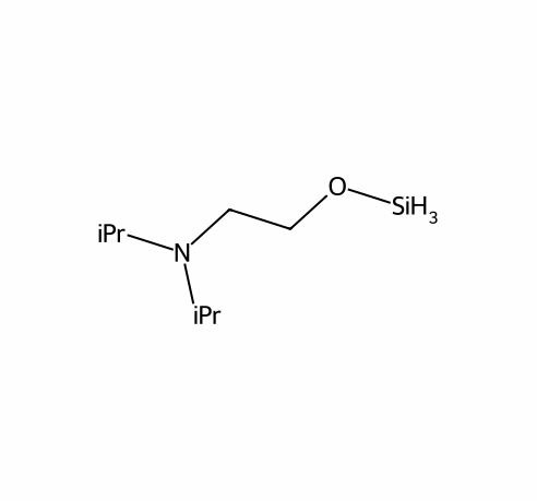 CC(C)N(CCO[SiH3])C(C)C